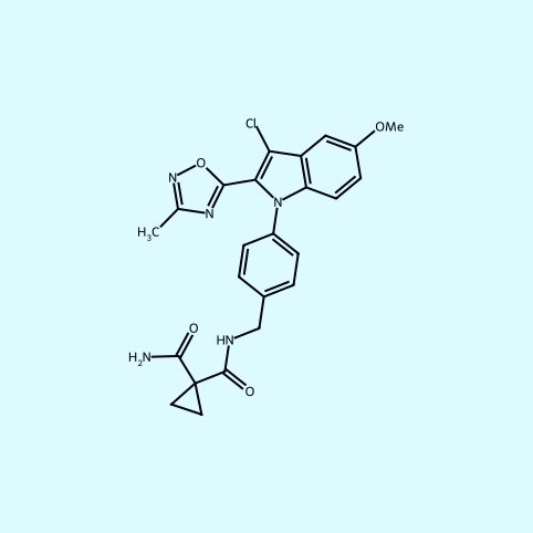 COc1ccc2c(c1)c(Cl)c(-c1nc(C)no1)n2-c1ccc(CNC(=O)C2(C(N)=O)CC2)cc1